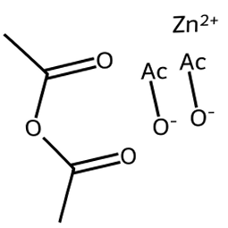 CC(=O)OC(C)=O.CC(=O)[O-].CC(=O)[O-].[Zn+2]